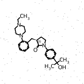 CCN1CCN(c2ccccc2C[C@H]2CCN(c3ccc(C(C)(C)O)cc3)C2=O)CC1